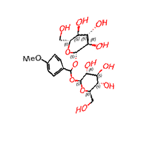 COc1ccc(C(O[C@@H]2O[C@H](CO)[C@@H](O)[C@H](O)[C@H]2O)O[C@@H]2O[C@H](CO)[C@@H](O)[C@H](O)[C@H]2O)cc1